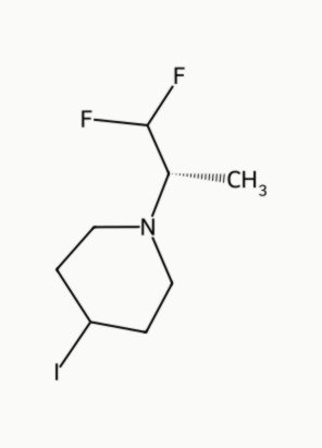 C[C@@H](C(F)F)N1CCC(I)CC1